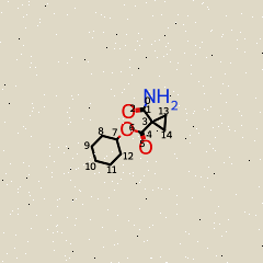 NC(=O)C1(C(=O)OC2CCCCC2)CC1